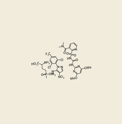 COc1cc(OC)nc(NC(=O)NS(=O)(=O)c2ncccc2C(=O)N(C)C)n1.CP(=O)(O)CCC(N)C(=O)O.Nc1c([N+](=O)[O-])cnn1-c1c(Cl)cc(C(F)(F)F)cc1Cl